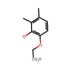 Cc1ccc(OCC(=O)O)c([O])c1C